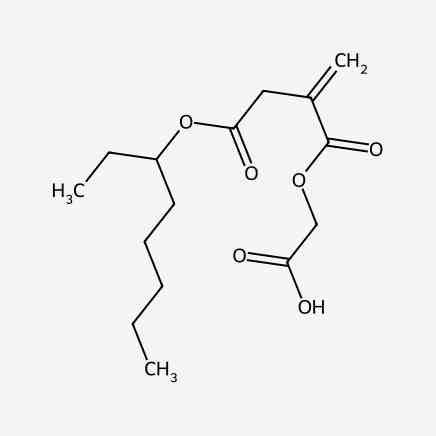 C=C(CC(=O)OC(CC)CCCCC)C(=O)OCC(=O)O